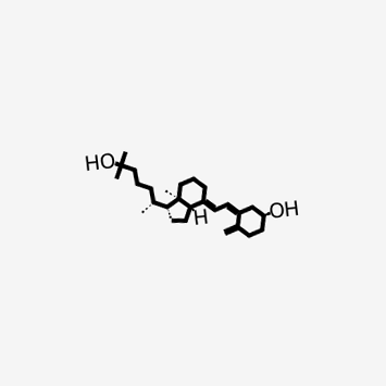 C=C1CC[C@H](O)C/C1=C/C=C1\CCC[C@@]2(C)[C@@H]1CC[C@@H]2[C@H](C)CCCC(C)(C)O